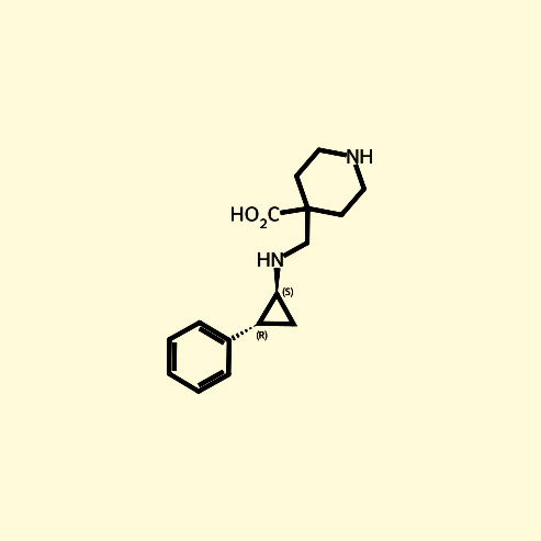 O=C(O)C1(CN[C@H]2C[C@@H]2c2ccccc2)CCNCC1